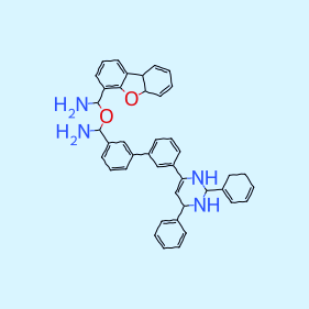 NC(OC(N)c1cccc2c1OC1C=CC=CC21)c1cccc(-c2cccc(C3=CC(c4ccccc4)NC(C4=CC=CCC4)N3)c2)c1